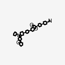 N#Cc1ccc(-c2ccc(-c3cc(=O)c4cc(-c5ccc(-c6ccc7c(c6)c6cc8c(cc6n7-c6ccccc6)oc6ccccc68)cc5)ccc4o3)cc2)cc1